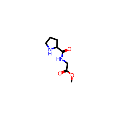 COC(=O)CNC(=O)C1CCCN1